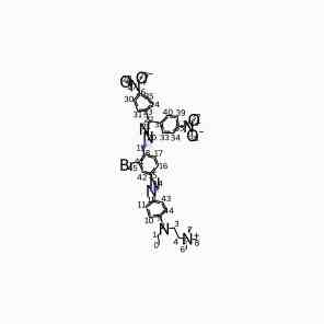 CCN(CC[N+](C)(C)C)c1ccc(/N=N/c2ccc(/C=N/N=C(c3ccc([N+](=O)[O-])cc3)c3ccc([N+](=O)[O-])cc3)cc2)cc1.[Br-]